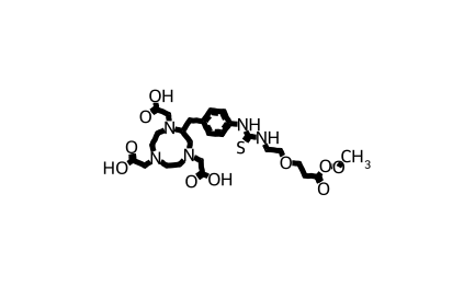 COOC(=O)CCOCCNC(=S)Nc1ccc(CC2CN(CC(=O)O)CCN(CC(=O)O)CCN2CC(=O)O)cc1